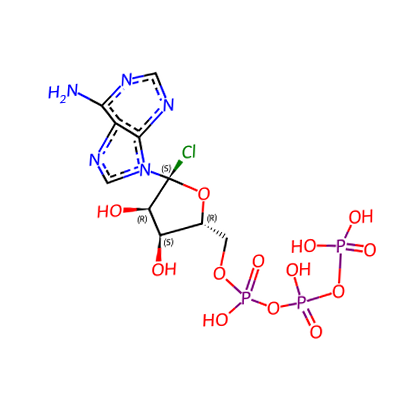 Nc1ncnc2c1ncn2[C@]1(Cl)O[C@H](COP(=O)(O)OP(=O)(O)OP(=O)(O)O)[C@@H](O)[C@H]1O